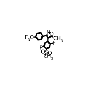 Cc1onc(-c2ccc(C(F)(F)F)cc2)c1-c1cc(F)c(S(C)(=O)=O)cc1F